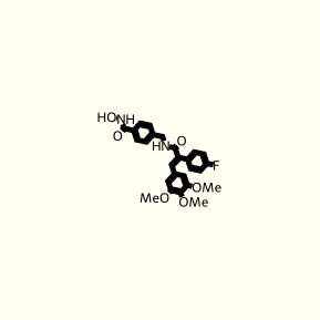 COc1cc(/C=C(/C(=O)NCc2ccc(C(=O)NO)cc2)c2ccc(F)cc2)cc(OC)c1OC